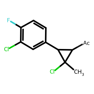 CC(=O)C1C(c2ccc(F)c(Cl)c2)C1(C)Cl